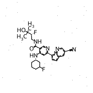 CC(C)(O)[C@H](F)CNC(=O)c1cnc(-c2ccc3cc(C#N)cnn23)cc1N[C@H]1CCCC(F)C1